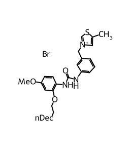 CCCCCCCCCCCCOc1cc(OC)ccc1NC(=O)Nc1cccc(C[n+]2csc(C)c2)c1.[Br-]